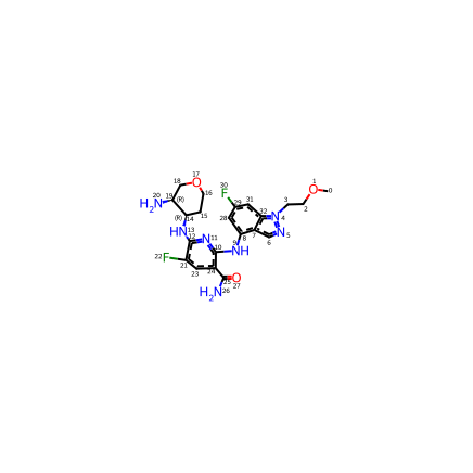 COCCn1ncc2c(Nc3nc(N[C@@H]4CCOC[C@@H]4N)c(F)cc3C(N)=O)cc(F)cc21